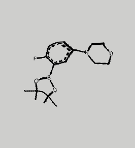 CC1(C)OB(c2cc(N3CCOCC3)ccc2F)OC1(C)C